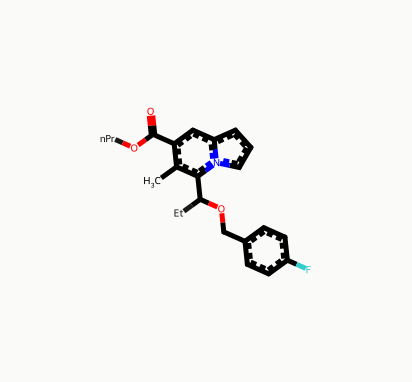 CCCOC(=O)c1cc2cccn2c(C(CC)OCc2ccc(F)cc2)c1C